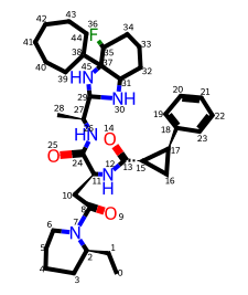 CC[C@H]1CCCCN1C(=O)C[C@H](NC(=O)[C@H]1C[C@@H]1c1ccccc1)C(=O)N[C@@H](C)C1NC2CCCC(F)C2(C2CCCCCC2)N1